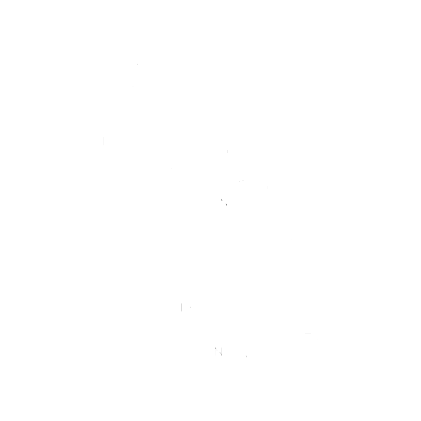 Cc1noc(C)c1-c1ccc2oc(=O)n(Cc3ccc(C4CO4)c(F)c3)c2c1